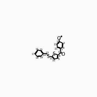 COc1ccc(C(=O)c2ccc(SCc3ccccc3)s2)cc1